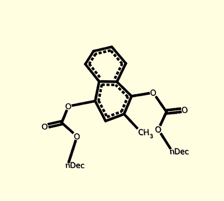 CCCCCCCCCCOC(=O)Oc1cc(C)c(OC(=O)OCCCCCCCCCC)c2ccccc12